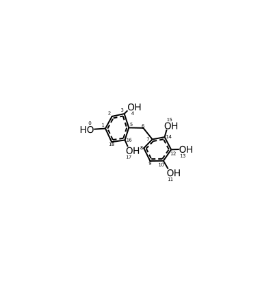 Oc1cc(O)c(Cc2ccc(O)c(O)c2O)c(O)c1